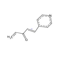 C=CC(=O)/C=C/c1ccncc1